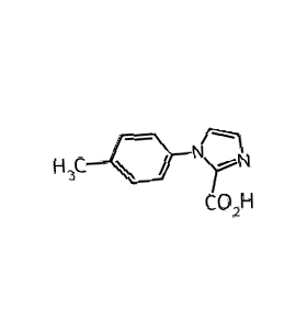 Cc1ccc(-n2ccnc2C(=O)O)cc1